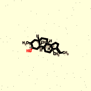 CC=C1CC[C@H]2[C@@H]3CC[C@H]4C[C@H](C)[C@@H](O)C[C@]4(C)[C@H]3CC[C@]12C